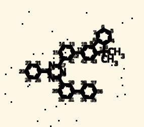 CC1(C)c2ccccc2-c2cc(-c3cccc(-c4nc(-c5ccccc5)nc(-c5cccc(-c6ccccc6)c5)n4)c3)ccc21